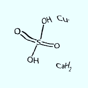 O=S(=O)(O)O.[CaH2].[Cu]